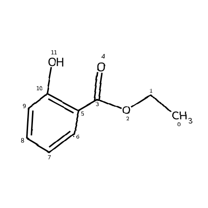 CCOC(=O)c1[c]cccc1O